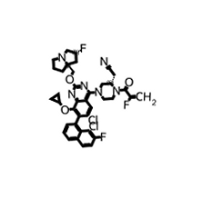 C=C(F)C(=O)N1CCN(c2nc(OC[C@@]34CCCN3C[C@H](F)C4)nc3c(OC4CC4)c(-c4cccc5ccc(F)c(Cl)c45)c(Cl)cc23)C[C@@H]1CC#N